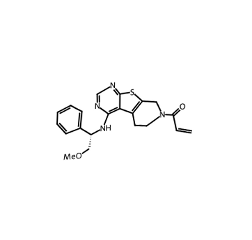 C=CC(=O)N1CCc2c(sc3ncnc(N[C@H](COC)c4ccccc4)c23)C1